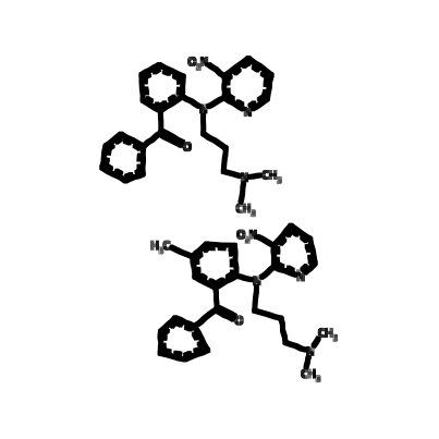 CN(C)CCCN(c1ccccc1C(=O)c1ccccc1)c1ncccc1[N+](=O)[O-].Cc1ccc(N(CCCN(C)C)c2ncccc2[N+](=O)[O-])c(C(=O)c2ccccc2)c1